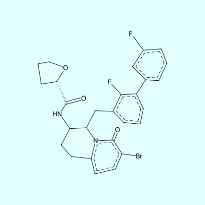 O=C(NC1CCc2ccc(Br)c(=O)n2C1Cc1cccc(-c2cccc(F)c2)c1F)[C@@H]1CCCO1